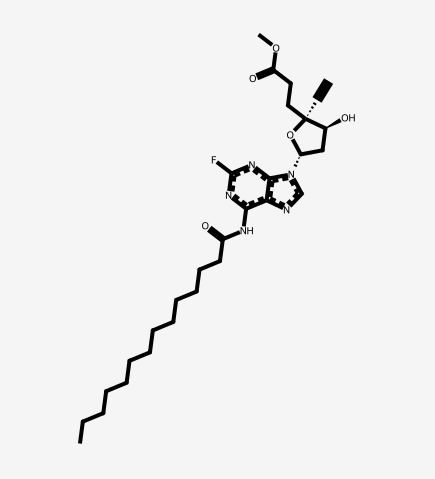 C#C[C@@]1(CCC(=O)OC)O[C@@H](n2cnc3c(NC(=O)CCCCCCCCCCCCC)nc(F)nc32)C[C@@H]1O